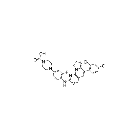 O=C(O)N1CCN(c2ccc(Nc3ncc4c(n3)N3CCN=C3C(c3ccc(Cl)cc3Cl)=C4)c(F)c2)CC1